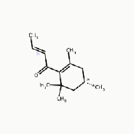 C/C=C/C(=O)C1=C(C)C[C@H](C)CC1(C)C